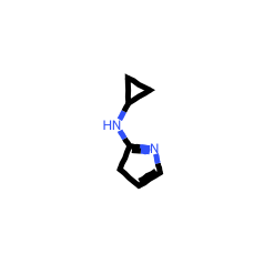 C1=CN=C(NC2CC2)C1